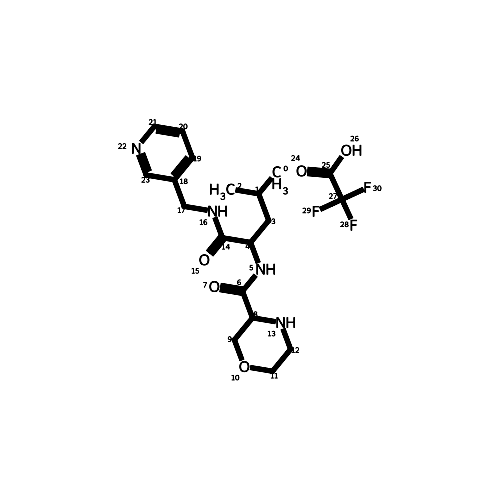 CC(C)CC(NC(=O)C1COCCN1)C(=O)NCc1cccnc1.O=C(O)C(F)(F)F